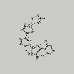 Fc1cccc(Cl)c1-c1nc2c3cc(-c4cnn(C5CCNC5)c4)cnc3ccn2c1Br